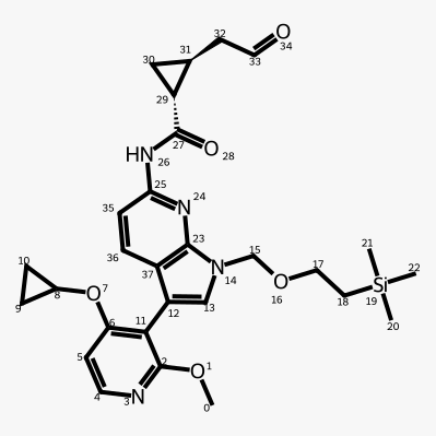 COc1nccc(OC2CC2)c1-c1cn(COCC[Si](C)(C)C)c2nc(NC(=O)[C@@H]3C[C@H]3CC=O)ccc12